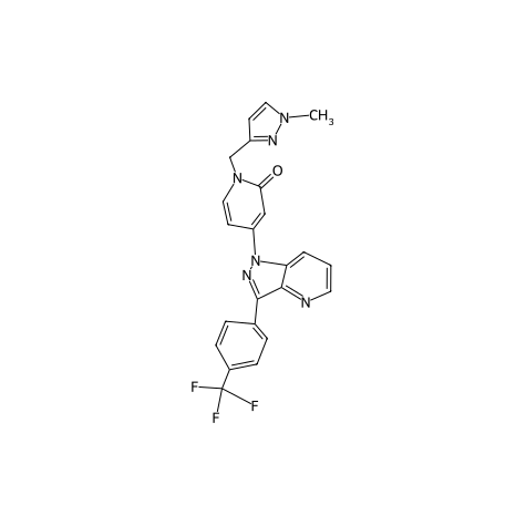 Cn1ccc(Cn2ccc(-n3nc(-c4ccc(C(F)(F)F)cc4)c4ncccc43)cc2=O)n1